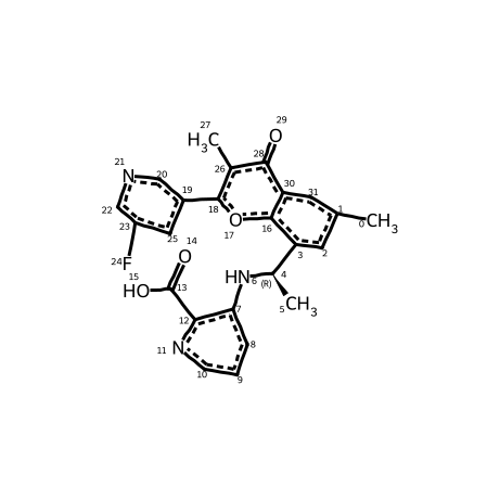 Cc1cc([C@@H](C)Nc2cccnc2C(=O)O)c2oc(-c3cncc(F)c3)c(C)c(=O)c2c1